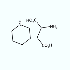 C1CCNCC1.NC(CC(=O)O)C(=O)O